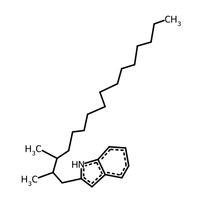 CCCCCCCCCCCCCC(C)C(C)Cc1cc2ccccc2[nH]1